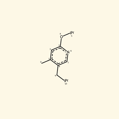 Cc1cc(OC(C)C)ncc1CC(C)C